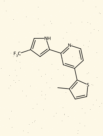 Cc1ccsc1-c1ccnc(-c2cc(C(F)(F)F)c[nH]2)c1